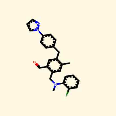 Cc1cc(CN(C)c2ccccc2F)c(C=O)cc1Cc1ccc(-n2cccn2)cc1